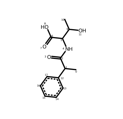 CC(C(=O)NC(C(=O)O)C(C)O)c1ccccc1